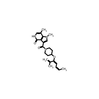 C=C(C)/C(=C\C=C/C)OC1CCN(C(=O)c2cn(C)c3c(C)c[nH]c(=O)c23)CC1